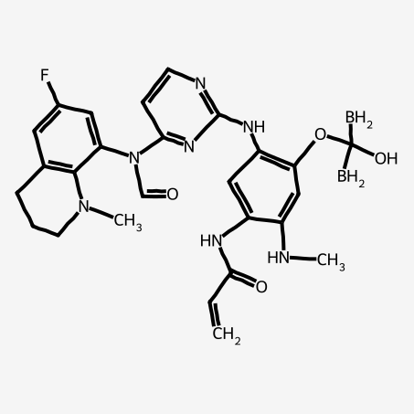 BC(B)(O)Oc1cc(NC)c(NC(=O)C=C)cc1Nc1nccc(N(C=O)c2cc(F)cc3c2N(C)CCC3)n1